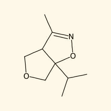 CC1=NOC2(C(C)C)COCC12